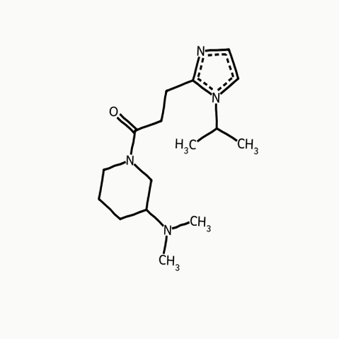 CC(C)n1ccnc1CCC(=O)N1CCCC(N(C)C)C1